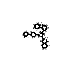 c1ccc(-c2ccc(-c3nc(-c4cc5ccccc5cn4)nc(-c4cccc5sc6ccccc6c45)n3)cc2)cc1